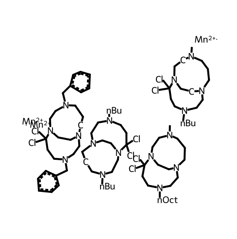 CCCCCCCCN1CCN2CCCN(C)CCN(CC2)C(Cl)(Cl)CC1.CCCCN1CCCN2CCN(CCCC)CCC(Cl)(Cl)N(CC1)CC2.CCCCN1CCN2CCCN(C)CCN(CC2)C(Cl)(Cl)CC1.ClC1(Cl)CCN(Cc2ccccc2)CCN2CCCN(Cc3ccccc3)CCN1CC2.[Mn+2].[Mn+2].[Mn+2]